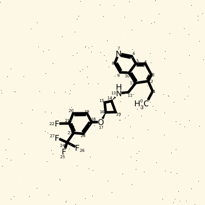 CCc1ccc2cnccc2c1CN[C@H]1C[C@H](Oc2ccc(F)c(C(F)(F)F)c2)C1